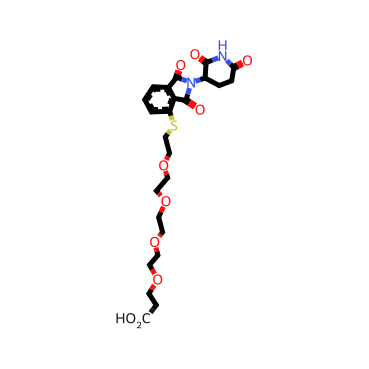 O=C(O)CCOCCOCCOCCOCCSc1cccc2c1C(=O)N(C1CCC(=O)NC1=O)C2=O